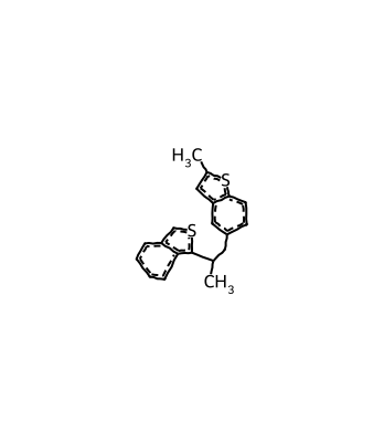 Cc1cc2cc(CC(C)c3scc4ccccc34)ccc2s1